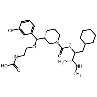 CN[C@H](C)[C@H](CC1CCCCC1)NC(=O)N1CCC[C@@H]([C@@H](OCCNC(=O)O)c2cccc(Cl)c2)C1